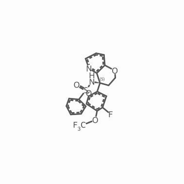 O=S(=O)(N[C@]1(c2ccc(OC(F)(F)F)c(F)c2)CCOc2cccnc21)c1ccccc1